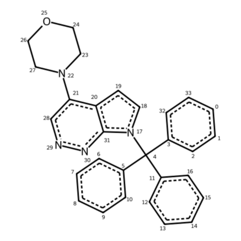 c1ccc(C(c2ccccc2)(c2ccccc2)n2ccc3c(N4CCOCC4)cnnc32)cc1